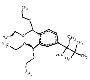 CCOC(OCC)c1ccc(C(C)(C)C(C)(C)C)cc1C(OCC)OCC